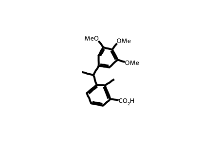 COc1cc(C(C)c2cccc(C(=O)O)c2C)cc(OC)c1OC